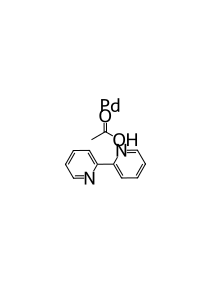 CC(=O)O.[Pd].c1ccc(-c2ccccn2)nc1